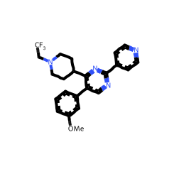 COc1cccc(-c2cnc(-c3ccncc3)nc2C2CCN(CC(F)(F)F)CC2)c1